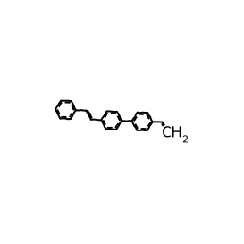 C=Cc1ccc(-c2ccc(C=Cc3ccccc3)cc2)cc1